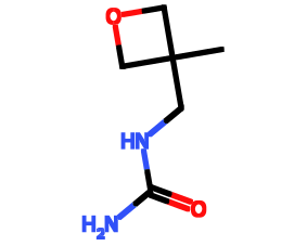 CC1(CNC(N)=O)COC1